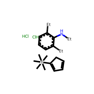 CCNc1c(CC)cccc1CC.Cl.Cl.[CH3][Ti]([CH3])([CH3])([CH3])([CH3])[C]1=CC=CC1